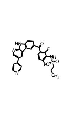 CCCS(=O)(=O)Nc1c(F)ccc(C(=O)c2ccc3[nH]c4ncc(-c5ccncc5)cc4c3c2)c1F